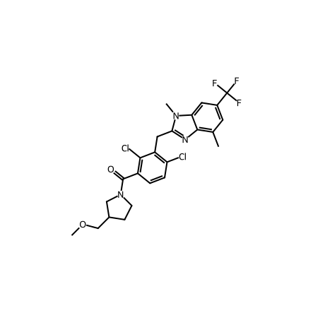 COCC1CCN(C(=O)c2ccc(Cl)c(Cc3nc4c(C)cc(C(F)(F)F)cc4n3C)c2Cl)C1